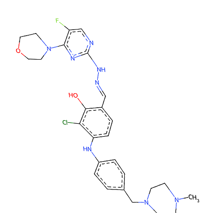 CN1CCN(Cc2ccc(Nc3ccc(/C=N/Nc4ncc(F)c(N5CCOCC5)n4)c(O)c3Cl)cc2)CC1